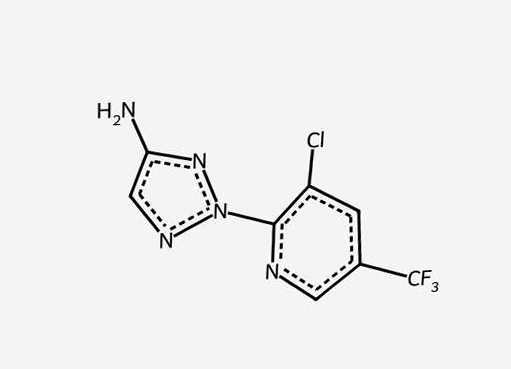 Nc1cnn(-c2ncc(C(F)(F)F)cc2Cl)n1